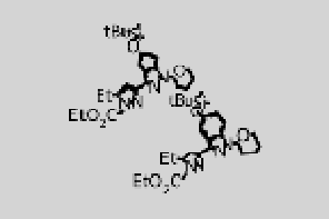 CCOC(=O)CN1N=C(c2nn(C3CCCCO3)c3ccc(O[Si](C)(C)C(C)(C)C)cc23)CC1CC.CCOC(=O)Cn1nc(-c2nn(C3CCCCO3)c3ccc(O[Si](C)(C)C(C)(C)C)cc23)cc1CC